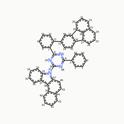 c1ccc(-c2nc(-c3ccccc3-c3ccc4c(c3)-c3cccc5cccc-4c35)nc(-n3c4ccccc4c4c5ccccc5ccc43)n2)cc1